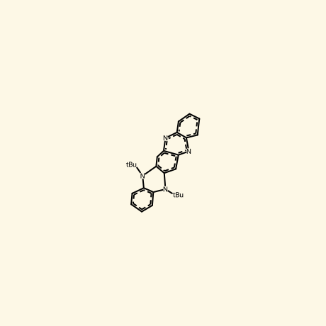 CC(C)(C)N1c2ccccc2N(C(C)(C)C)c2cc3nc4ccccc4nc3cc21